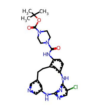 CC(C)(C)OC(=O)N1CCN(C(=O)Nc2ccc3cc2CCc2cncc(c2)Nc2ncc(Cl)c(n2)N3)CC1